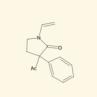 C=CN1CCC(C(C)=O)(c2ccccc2)C1=O